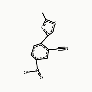 Cc1nc(-c2ccc([N+](=O)[O-])cc2C#N)cs1